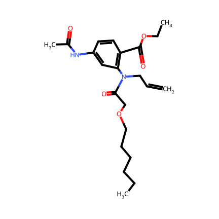 C=CCN(C(=O)COCCCCCC)c1cc(NC(C)=O)ccc1C(=O)OCC